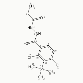 CCC(=O)NNC(=O)c1ccc(Cl)[c]([Sn]([CH3])([CH3])[CH3])c1Cl